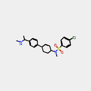 CNC(C)c1ccc(C2CCC(N(C)S(=O)(=O)c3ccc(Cl)cc3)CC2)cc1